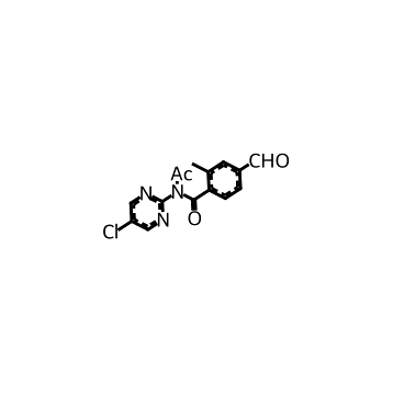 CC(=O)N(C(=O)c1ccc(C=O)cc1C)c1ncc(Cl)cn1